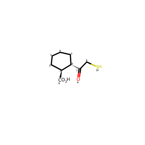 O=C(O)[C@H]1CCCC[C@@H]1C(=O)CS